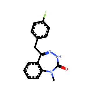 CN1C(=O)NN=C(Cc2ccc(F)cc2)c2ccccc21